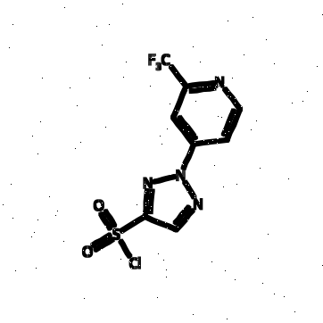 O=S(=O)(Cl)c1cnn(-c2ccnc(C(F)(F)F)c2)n1